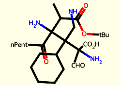 CCCCCC(=O)C(N)(C(C)C(=O)OC(C)(C)C)C(CN)(C1CCCCC1)C(N)(C=O)C(=O)O